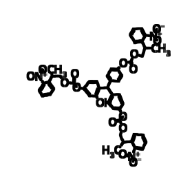 CC(COC(=O)Oc1ccc(C(c2ccc(OC(=O)OCC(C)c3ccccc3[N+](=O)[O-])cc2)c2ccc(OC(=O)OCC(C)c3ccccc3[N+](=O)[O-])cc2O)cc1)c1ccccc1[N+](=O)[O-]